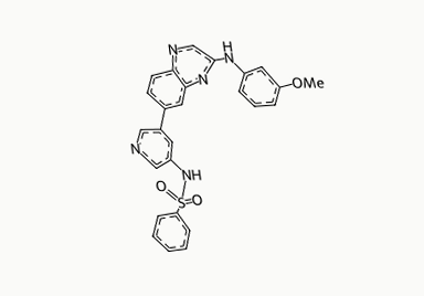 COc1cccc(Nc2cnc3ccc(-c4cncc(NS(=O)(=O)c5ccccc5)c4)cc3n2)c1